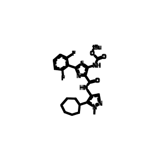 Cn1ncc(NC(=O)c2nc(-c3c(F)cccc3F)sc2NC(=O)OC(C)(C)C)c1C1CCCCCC1